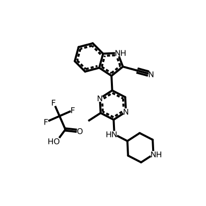 Cc1nc(-c2c(C#N)[nH]c3ccccc23)cnc1NC1CCNCC1.O=C(O)C(F)(F)F